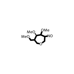 COCC1COCC(N=O)C(OC)[C@@H]1OC